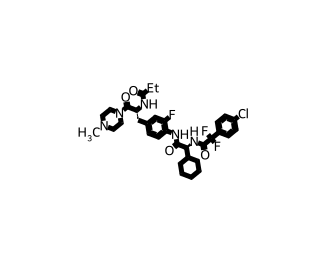 CCC(=O)N[C@H](Cc1ccc(NC(=O)[C@@H](NC(=O)C(F)(F)c2ccc(Cl)cc2)C2CCCCC2)c(F)c1)C(=O)N1CCN(C)CC1